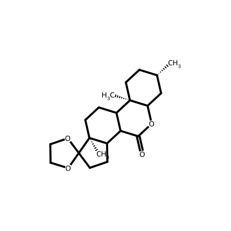 C[C@H]1CC[C@@]2(C)C(C1)OC(=O)C1C2CC[C@@]2(C)C1CCC21OCCO1